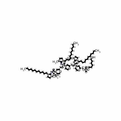 CCCCCCCCCCCCN1CCN(C)C1=NP(=O)(OC[C@H]1CN(P(=O)(/N=C2/N(C)CCN2CCCCCCCCCCCC)OC[C@H]2CN(P(=O)(/N=C3\N(C)CCN3CCCCCCCCCCCC)OC)CCO2)CCO1)N1CCO[C@@H](COP(=O)(O)OCCCCCCO)C1